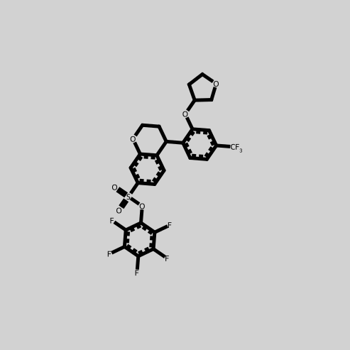 O=S(=O)(Oc1c(F)c(F)c(F)c(F)c1F)c1ccc2c(c1)OCCC2c1ccc(C(F)(F)F)cc1OC1CCOC1